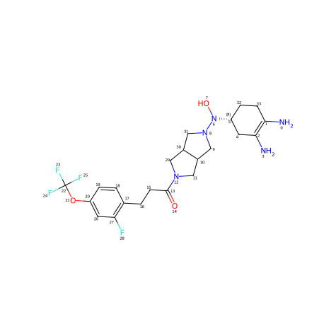 NC1=C(N)C[C@H](N(O)N2CC3CN(C(=O)CCc4ccc(OC(F)(F)F)cc4F)CC3C2)CC1